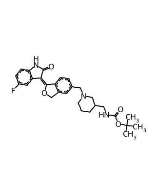 CC(C)(C)OC(=O)NCC1CCCN(Cc2ccc3c(c2)COC3=C2C(=O)Nc3ccc(F)cc32)C1